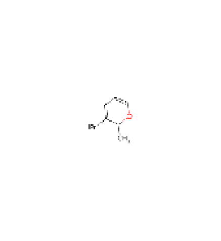 CC(C)C1=CC=COC1C